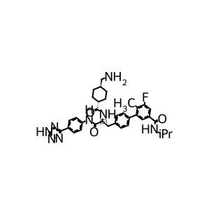 Cc1c(F)cc(C(=O)NC(C)C)cc1-c1ccc(C[C@H](NC(=O)[C@H]2CC[C@H](CN)CC2)C(=O)Nc2ccc(-c3nn[nH]n3)cc2)cc1